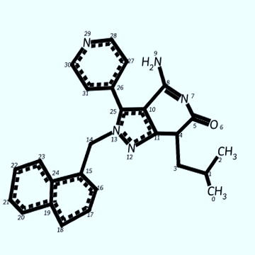 CC(C)CC1C(=O)N=C(N)c2c1nn(Cc1cccc3ccccc13)c2-c1ccncc1